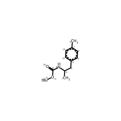 Cc1ccc(CC(C)NC(=O)OC(C)(C)C)cc1